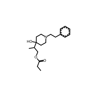 CCC(=O)OCC(C)C1(O)CCN(CCc2ccccc2)CC1